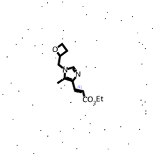 CCOC(=O)/C=C/c1ncn(CC2CCO2)c1C